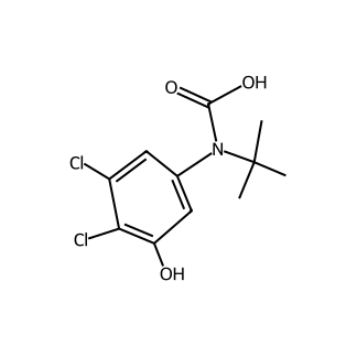 CC(C)(C)N(C(=O)O)c1cc(O)c(Cl)c(Cl)c1